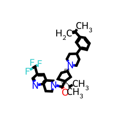 C=C(C)c1cccc(C2CCN([C@@H]3CC[C@@](C(=O)N4CCc5ncc(C(F)(F)F)cc5C4)(C(C)C)C3)CC2)c1